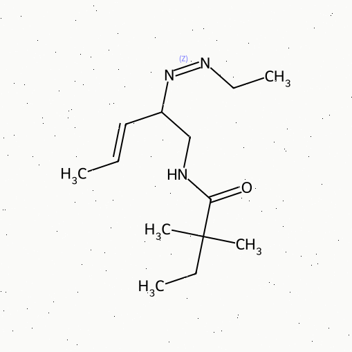 CC=CC(CNC(=O)C(C)(C)CC)/N=N\CC